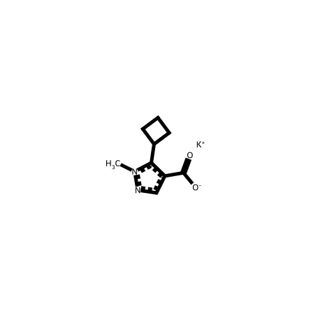 Cn1ncc(C(=O)[O-])c1C1CCC1.[K+]